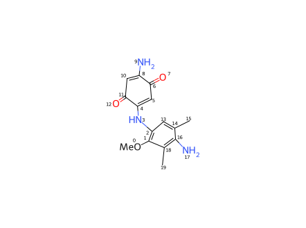 COc1c(NC2=CC(=O)C(N)=CC2=O)cc(C)c(N)c1C